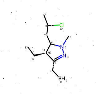 BCC1=NN(C)C(CC(C)Cl)[C@@H]1CC